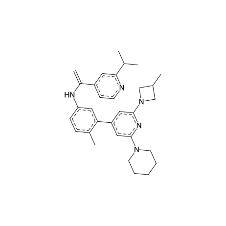 C=C(Nc1ccc(C)c(-c2cc(N3CCCCC3)nc(N3CC(C)C3)c2)c1)c1ccnc(C(C)C)c1